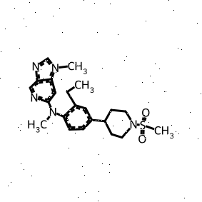 CCc1cc(C2CCN(S(C)(=O)=O)CC2)ccc1N(C)c1cc2c(cn1)ncn2C